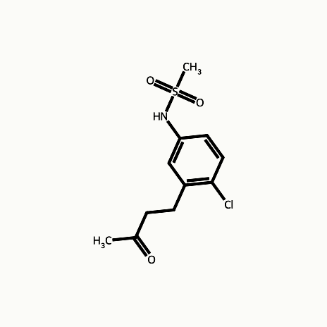 CC(=O)CCc1cc(NS(C)(=O)=O)ccc1Cl